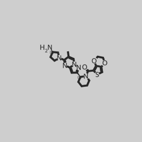 Cc1cn2nc([C@@H]3CCCCN3C(=O)c3scc4c3OCCO4)cc2nc1N1CC[C@H](N)C1